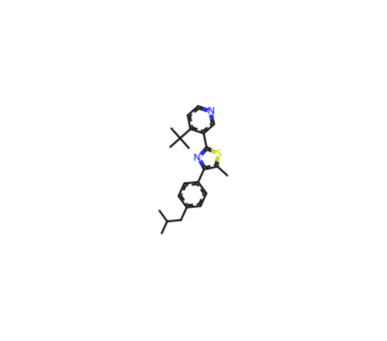 Cc1sc(-c2cnccc2C(C)(C)C)nc1-c1ccc(CC(C)C)cc1